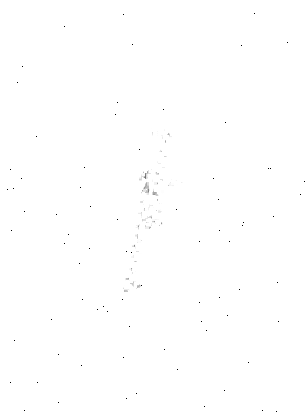 CCCCCCCCCCCCCCCCCC(=O)[O-].CCCCCCCCCCCCCCCCCC(=O)[O-].O=C1CCCN1.[Zn+2]